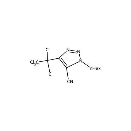 CCCCCCn1nnc(C(Cl)(Cl)C(Cl)(Cl)Cl)c1C#N